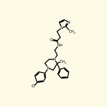 Cc1nccn1CCC(=O)NCCN1CCN(c2ccc(Cl)cc2)CC1(C)c1ccccc1